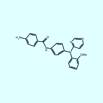 COc1ccccc1N(c1ccc(NC(=O)c2ccc(N)cc2)cc1)c1ccncn1